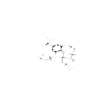 CNC(=O)c1cc(OC(C)(C)CC(C)(C)C)c(OC(C)(C)CC(C)(C)NC)c(OC(C)(C)CC(C)(C)C)c1